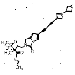 CCOC(=O)C(C)(CCN1Cc2cc(C#CC#CC3CN(C4COC4)C3)cn2C1=O)S(C)(=O)=O